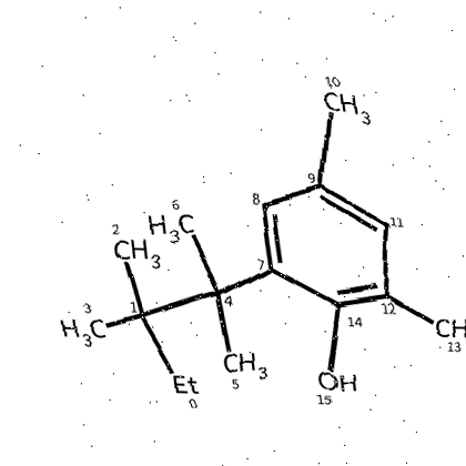 CCC(C)(C)C(C)(C)c1cc(C)cc(C)c1O